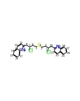 ClC(CCSCCC(Cl)Cc1ccc2ccccc2n1)Cc1ccc2ccccc2n1